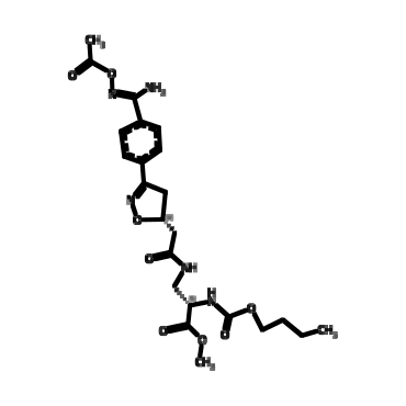 CCCCOC(=O)N[C@@H](CNC(=O)C[C@H]1CC(c2ccc(C(N)=NOC(C)=O)cc2)=NO1)C(=O)OC